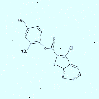 CC(C)(C)c1ccc(OC(=O)c2sc3ccccc3c2Cl)c(C(C)(C)C)c1